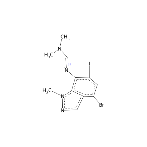 CN(C)/C=N/c1c(I)cc(Br)c2cnn(C)c12